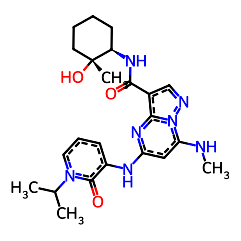 CNc1cc(Nc2cccn(C(C)C)c2=O)nc2c(C(=O)N[C@@H]3CCCC[C@@]3(C)O)cnn12